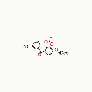 CCCCCCCCCCOc1ccc(C(=O)c2cccc(C#N)c2)cc1OC(=O)CC